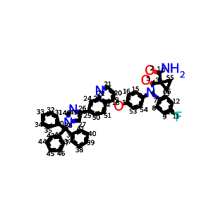 NC(=O)C1(C(=O)N(c2ccc(F)cc2)c2ccc(Oc3ccnc4cc(-c5cn(C(c6ccccc6)(c6ccccc6)c6ccccc6)cn5)ccc34)cc2)CC1